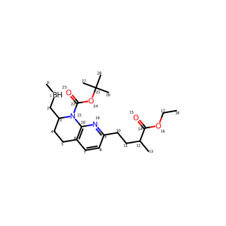 CBCC1CCc2ccc(CCC(C)C(=O)OCC)nc2N1C(=O)OC(C)(C)C